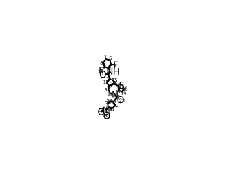 O=C(Nc1c(F)cccc1F)c1cc2c(s1)-c1sccc1N(C(=O)c1ccc([N+](=O)[O-])cc1)CC2